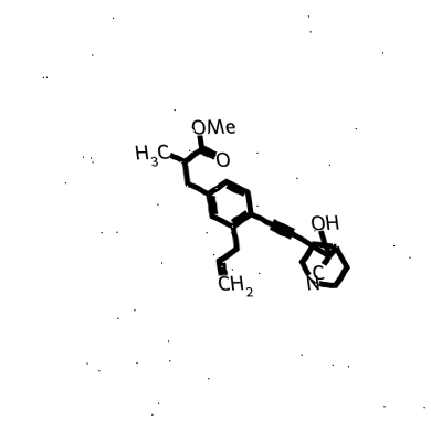 C=CCc1cc(CC(C)C(=O)OC)ccc1C#CC1(O)CN2CCC1CC2